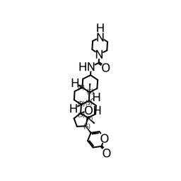 C[C@]12CCC(NC(=O)N3CCNCC3)C[C@H]1CC[C@@H]1[C@@H]2CC[C@]2(C)[C@@H](c3ccc(=O)oc3)CC[C@]12O